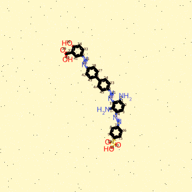 Nc1ccc(/N=N/c2ccc(S(=O)(=O)O)cc2)c(N)c1/N=N/c1ccc(-c2ccc(/N=N/c3ccc(O)c(C(=O)O)c3)cc2)cc1